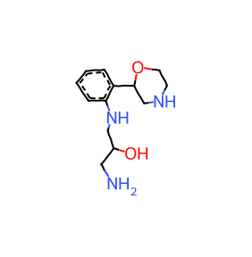 NCC(O)CNc1ccccc1C1CNCCO1